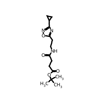 CC(C)(C)OC(=O)CCC(=O)NCCc1nc(C2CC2)no1